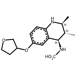 C[C@H]1[C@H](C)Nc2ccc(OC3CCOC3)cc2[C@@H]1NC(=O)O